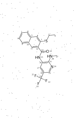 CCSc1cc2ccccc2cc1C(=O)Nc1cc(C(F)(F)F)cnc1NC